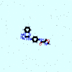 O=C(Nc1ccc(Nc2nc3ccccc3n3nnnc23)cc1)c1cocn1